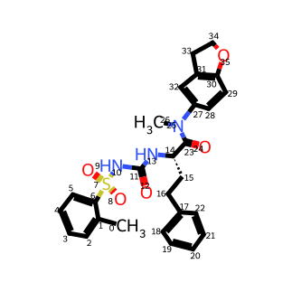 Cc1ccccc1S(=O)(=O)NC(=O)N[C@@H](CCc1ccccc1)C(=O)N(C)c1ccc2c(c1)CCO2